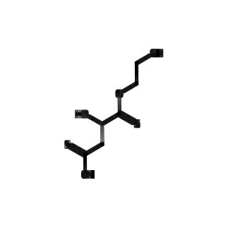 OCCOC(=S)C(O)CC(O)=S